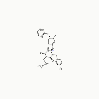 Cc1cc(/N=c2\[nH]c(=O)n(C[C@H](C)C(=O)O)c(=O)n2Cc2ccc(Cl)cc2)ccc1Oc1cnccn1